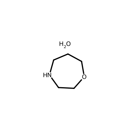 C1CNCCOC1.O